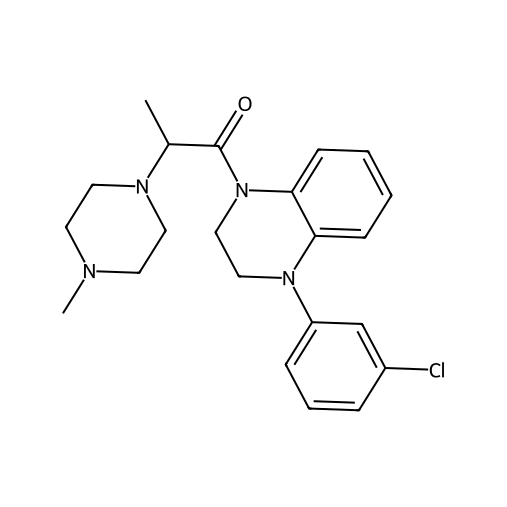 CC(C(=O)N1CCN(c2cccc(Cl)c2)c2ccccc21)N1CCN(C)CC1